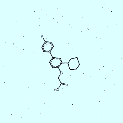 O=C(O)COc1ccc(-c2ccc(F)cc2)cc1C1CCCCC1